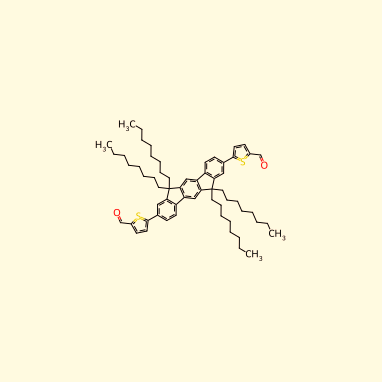 CCCCCCCCC1(CCCCCCCC)c2cc(-c3ccc(C=O)s3)ccc2-c2cc3c(cc21)-c1ccc(-c2ccc(C=O)s2)cc1C3(CCCCCCCC)CCCCCCCC